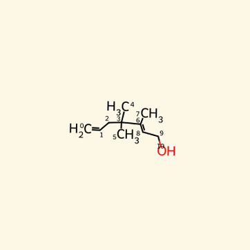 C=CCC(C)(C)/C(C)=C/CO